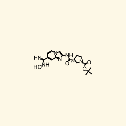 CC(C)(C)OC(=O)N1CC[C@H](C(=O)Nc2cn3ccc(C(=N)NO)cc3n2)C1